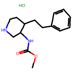 COC(=O)NC1CNCCC1CCc1ccccc1.Cl